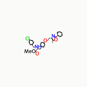 COC(=O)[C@H](Cc1ccc(OCCc2nc(-c3ccccc3)oc2C)cc1)NCc1ccc(Cl)cc1